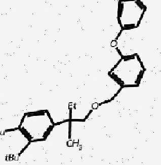 CCC(C)(COCc1cccc(Oc2ccccc2)c1)c1ccc(C(C)(C)C)c(C(C)(C)C)c1